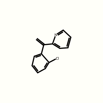 C=C(c1ccccn1)c1ccccc1Cl